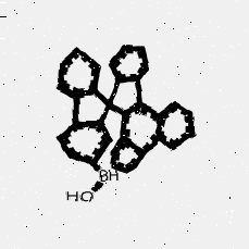 OBc1ccc2c(c1)C1(c3ccccc3-2)c2ccccc2-c2c1c1ccccc1c1ccccc21